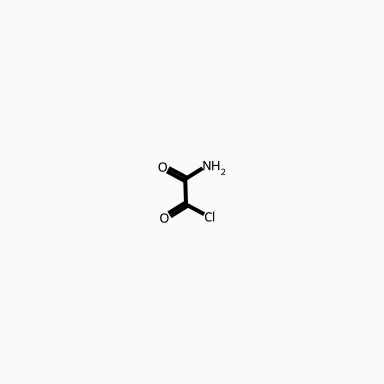 NC(=O)C(=O)Cl